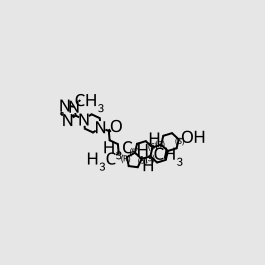 CC(CCC(=O)N1CCN(c2ncnn2C)CC1)[C@H]1CC[C@H]2[C@@H]3CC=C4C[C@@H](O)CC[C@]4(C)[C@H]3CC[C@]12C